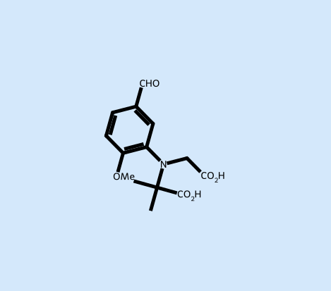 COc1ccc(C=O)cc1N(CC(=O)O)C(C)(C)C(=O)O